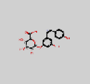 O=C(O)[C@H]1O[C@@H](Oc2cc(O)cc(/C=C\c3ccc(O)cc3)c2)[C@H](O)[C@@H](O)[C@@H]1O